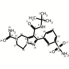 CC(C)(C)NC(=O)c1c(-c2cccc(S(N)(=O)=O)c2)nn2c1CN(C(N)=O)CC2